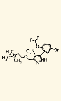 C[Si](C)(C)CCOCc1n[nH]c(-c2cc(Br)ccc2OC(F)F)c1[N+](=O)[O-]